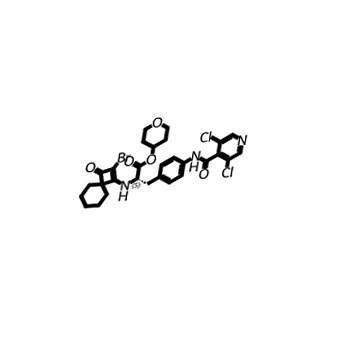 O=C(Nc1ccc(C[C@H](NC2=C(Br)C(=O)C23CCCCC3)C(=O)OC2CCOCC2)cc1)c1c(Cl)cncc1Cl